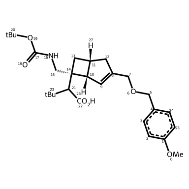 COc1ccc(COCC2=C[C@H]3[C@@H](C2)C[C@]3(CNC(=O)OC(C)(C)C)C(C(=O)O)C(C)(C)C)cc1